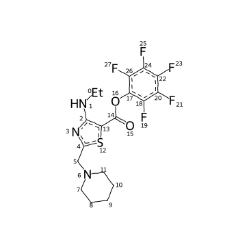 CCNc1nc(CN2CCCCC2)sc1C(=O)Oc1c(F)c(F)c(F)c(F)c1F